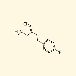 NC/C(=C\Cl)CCc1ccc(F)cc1